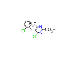 Cc1nc(C(=O)O)nc(Cl)c1Cc1ccccc1Cl